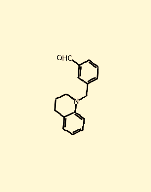 O=Cc1cccc(CN2CCCc3ccccc32)c1